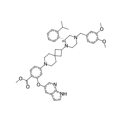 COC(=O)c1ccc(N2CCC3(CC2)CC(N2CCN(Cc4ccc(OC)c(OC)c4)C[C@H]2c2ccccc2C(C)C)C3)cc1Oc1cnc2[nH]ccc2c1